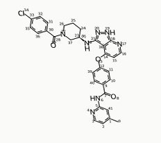 Cc1ccnc(NC(=O)c2ccc(Oc3ccnc4[nH]nc(N[C@@H]5CCCN(C(=O)c6ccc(Cl)cc6)C5)c34)cc2)c1